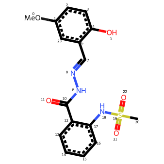 COc1ccc(O)c(C=NNC(=O)c2ccccc2NS(C)(=O)=O)c1